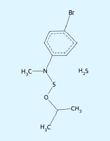 CC(C)OSN(C)c1ccc(Br)cc1.S